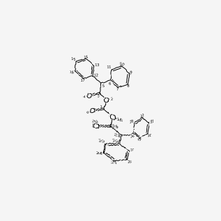 O=C(OC(=O)C(c1ccccc1)c1ccccc1)OC(=O)C(c1ccccc1)c1ccccc1